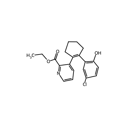 CCOC(=O)c1ncccc1C1=C(c2cc(Cl)ccc2O)CCCC1